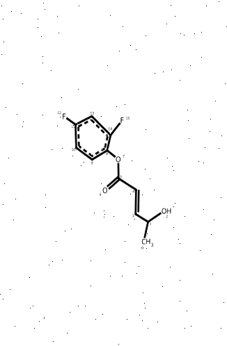 CC(O)C=CC(=O)Oc1ccc(F)cc1F